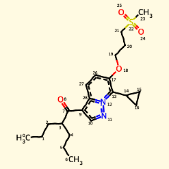 CCCC(CCC)C(=O)c1cnn2c(C3CC3)c(OCCCS(C)(=O)=O)ccc12